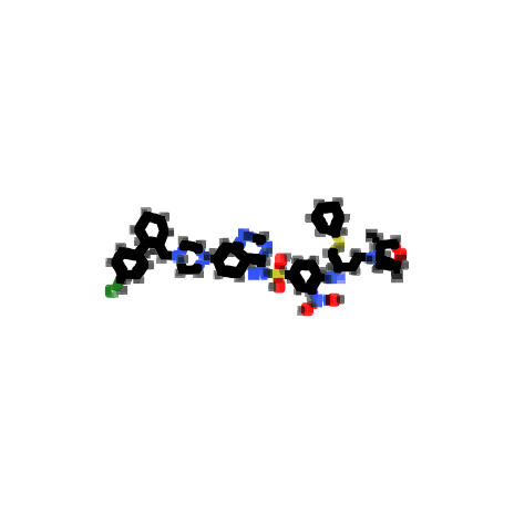 O=[N+]([O-])c1cc(S(=O)(=O)Nc2ncnc3cc(N4CCN(CC5=C(c6ccc(Cl)cc6)CCCC5)CC4)ccc23)ccc1NC(CCN1C[C@H]2C[C@@H]1CO2)CSc1ccccc1